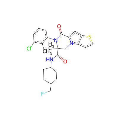 Cc1c(Cl)cccc1N1C(=O)c2cc3sccc3n2CC1(C)C(=O)NC1CCC(CF)CC1